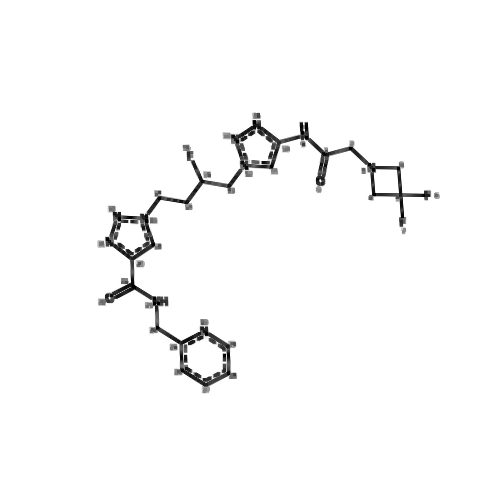 O=C(CN1CC(F)(F)C1)Nc1cn(CC(F)CCn2cc(C(=O)NCc3ccccn3)nn2)nn1